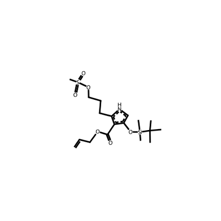 C=CCOC(=O)c1c(O[Si](C)(C)C(C)(C)C)c[nH]c1CCCOS(C)(=O)=O